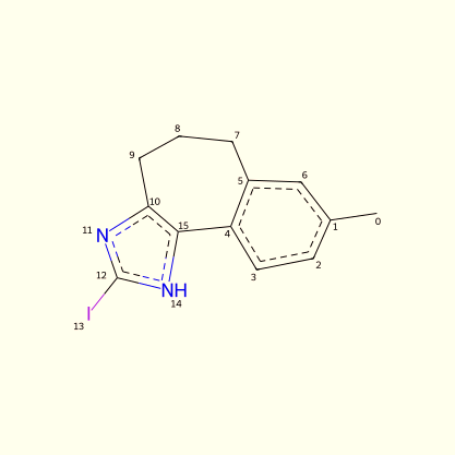 Cc1ccc2c(c1)CCCc1nc(I)[nH]c1-2